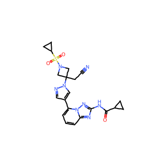 N#CCC1(n2cc(-c3cccc4nc(NC(=O)C5CC5)nn34)cn2)CN(S(=O)(=O)C2CC2)C1